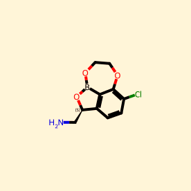 NC[C@H]1OB2OCCOc3c(Cl)ccc1c32